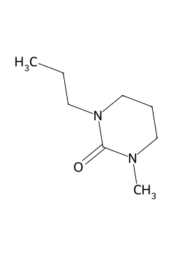 CCCN1CCCN(C)C1=O